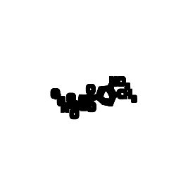 Cc1ccc(S(=O)(=O)CNS(=O)(=O)N=C=O)cc1[N+](=O)[O-]